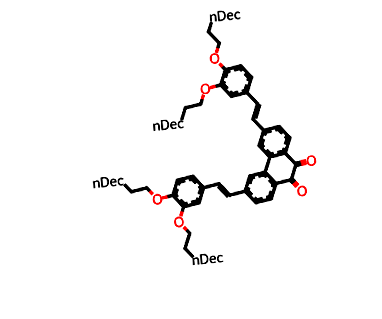 CCCCCCCCCCCCOc1ccc(C=Cc2ccc3c(c2)-c2cc(C=Cc4ccc(OCCCCCCCCCCCC)c(OCCCCCCCCCCCC)c4)ccc2C(=O)C3=O)cc1OCCCCCCCCCCCC